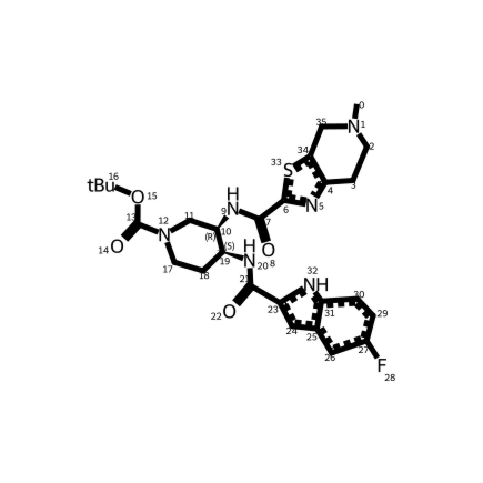 CN1CCc2nc(C(=O)N[C@@H]3CN(C(=O)OC(C)(C)C)CC[C@@H]3NC(=O)c3cc4cc(F)ccc4[nH]3)sc2C1